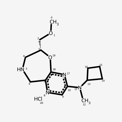 COC[C@H]1CNCc2ncc(N(C)C3CCC3)nc2O1.Cl